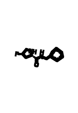 O=C(NCc1ccccc1)[C@@H]1C[C@@H](F)CN1